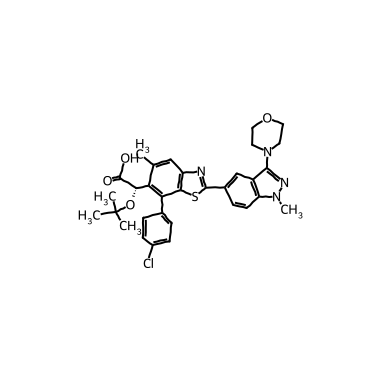 Cc1cc2nc(-c3ccc4c(c3)c(N3CCOCC3)nn4C)sc2c(-c2ccc(Cl)cc2)c1[C@H](OC(C)(C)C)C(=O)O